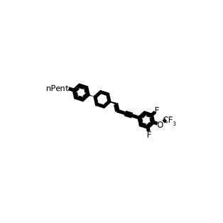 CCCCCc1ccc([C@H]2CC[C@H](/C=C/C#Cc3cc(F)c(OC(F)(F)F)c(F)c3)CC2)cc1